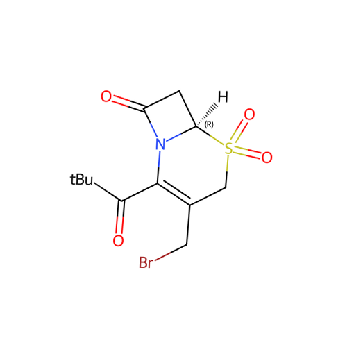 CC(C)(C)C(=O)C1=C(CBr)CS(=O)(=O)[C@@H]2CC(=O)N12